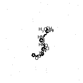 CC1(C)C[C@H](CCCNc2cccc(SNC(=O)c3ccc(-n4ccc(OCC(=O)C5CCCC5)n4)nc3Cl)n2)CN1